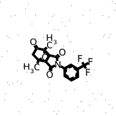 CC12CC(=O)C(C)(O1)C1C(=O)N(c3cccc(C(F)(F)F)c3)C(=O)C12